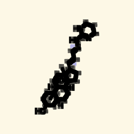 C[C@]12CC[C@H](O)C[C@H]1CC[C@@H]1[C@@H]2CC[C@]2(C)[C@@H](/C=C/C=N/NC3=NCCCN3)CC[C@]12O